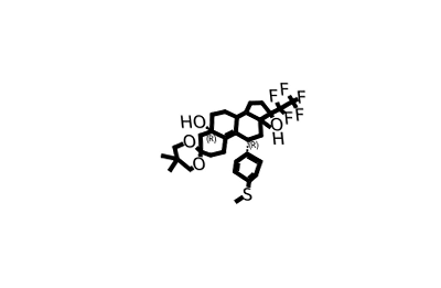 CSc1ccc([C@H]2CC3(C)C(CCC3(O)C(F)(F)C(F)(F)F)C3CC[C@@]4(O)CC5(CCC4=C32)OCC(C)(C)CO5)cc1